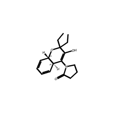 CCC1(CC)O[C@H]2C=CC=C[C@@H]2C(N2CCCC2=O)=C1O